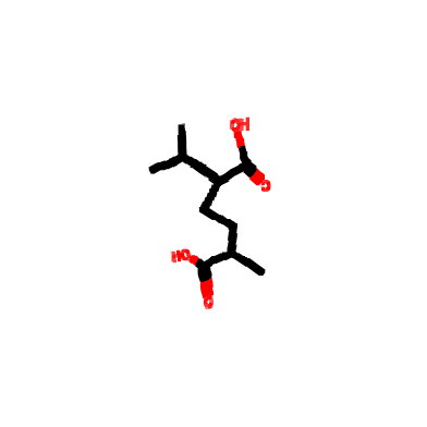 CC(CCC(C(=O)O)C(C)C)C(=O)O